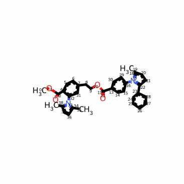 COC(=O)c1ccc(CCOC(=O)c2ccc(-n3c(C)ccc3-c3ccccc3)cc2)cc1-n1c(C)ccc1C